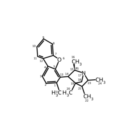 Cc1ccc2c(oc3ccccc32)c1C1[C@@H](C)N2CC1(C)C(C)C2C